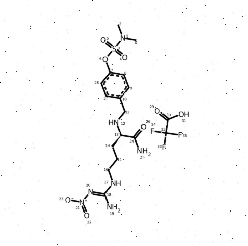 CN(C)S(=O)(=O)Oc1ccc(CN[C@H](CCCNC(N)=N[N+](=O)[O-])C(N)=O)cc1.O=C(O)C(F)(F)F